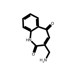 NCc1cc(=O)c2ccccc2[nH]c1=O